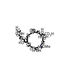 C=C(NC(=O)c1csc(-c2nc3c(cc2O)-c2nc(cs2)C(=O)N[C@@H]([C@@H](C)O)C(=O)N/C(=C(\C)OC)c2nc(cs2)C(=O)N[C@@H]([C@H](O)[C@H](O)C(=O)O)c2nc(cs2)C(=O)N[C@@H](CO)c2nc-3cs2)n1)C(N)=O